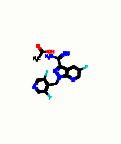 CC(=O)O.N=C(N)c1nn(Cc2c(F)cncc2F)c2ncc(F)cc12